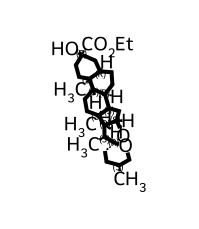 CCOC(=O)[C@@]1(O)CC[C@@]2(C)[C@H](CC[C@@H]3[C@@H]2CC[C@]2(C)[C@@H]4[C@H](C[C@@H]32)O[C@]2(CC[C@H](C)CO2)[C@H]4C)C1